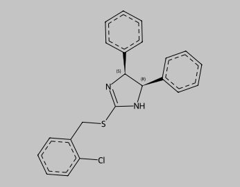 Clc1ccccc1CSC1=N[C@@H](c2ccccc2)[C@@H](c2ccccc2)N1